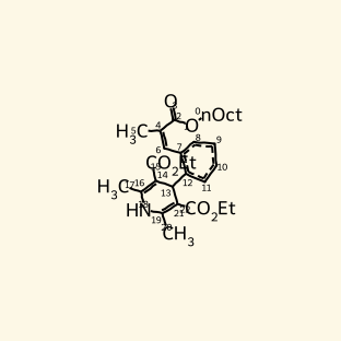 CCCCCCCCOC(=O)C(C)=Cc1ccccc1C1C(C(=O)OCC)=C(C)NC(C)=C1C(=O)OCC